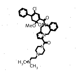 COC1(OC)CC(c2ccccc2)=C(Cl)C=C1C(=O)N1Cc2ccc(C(=O)N3CCN(CCN(C)C)CC3)n2Cc2ccccc21